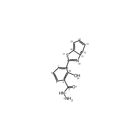 NNC(=O)c1cccc(-c2nc3ccccc3s2)c1O